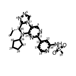 CC[C@@H]1c2nncn2-c2cnc(-c3ccnc(NS(C)(=O)=O)c3)nc2N1C1CCCC1